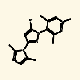 Cc1cc(C)c(-n2nc(-n3c(C)ccc3C)cc2Br)c(C)c1